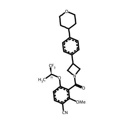 COc1c(C#N)ccc(O[C@@H](C)C(F)(F)F)c1C(=O)N1CC(c2ccc(C3CCOCC3)cc2)C1